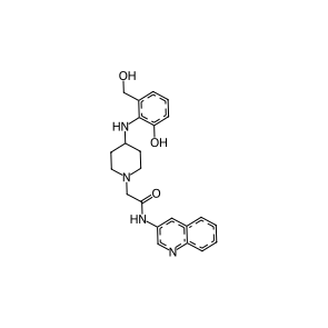 O=C(CN1CCC(Nc2c(O)cccc2CO)CC1)Nc1cnc2ccccc2c1